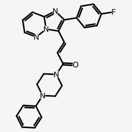 O=C(/C=C/c1c(-c2ccc(F)cc2)nc2cccnn12)N1CCN(c2ccccc2)CC1